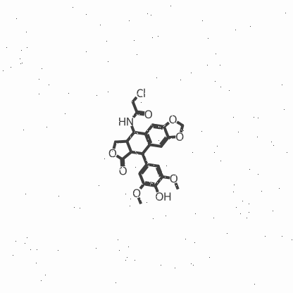 COc1cc(C2c3cc4c(cc3C(NC(=O)CCl)C3COC(=O)C23)OCO4)cc(OC)c1O